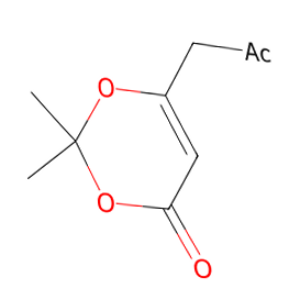 [CH2]C(=O)CC1=CC(=O)OC(C)(C)O1